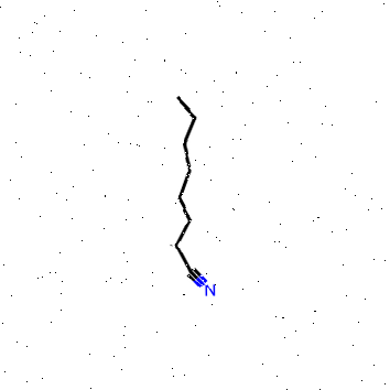 CCCCCC[CH]C#N